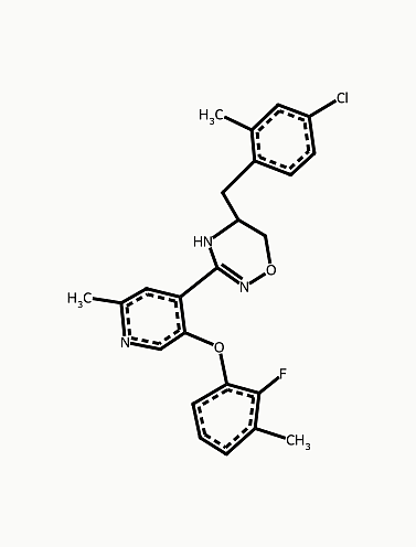 Cc1cc(C2=NOCC(Cc3ccc(Cl)cc3C)N2)c(Oc2cccc(C)c2F)cn1